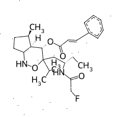 CC[C@@H](CC1(C(C)C)ONC2CC[C@@H](C)[C@H]2[C@@H]1OC(=O)/C=C/c1ccccc1)NC(=O)CF